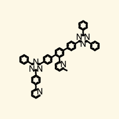 Cc1cccc(-c2cc(-c3ccc(-c4nc(-c5ccccc5)nc(-c5ccccc5)n4)cc3)ccc2-c2ccc(-c3nc(-c4ccccc4)nc(-c4ccc(-c5ccccn5)cc4)n3)cc2)n1